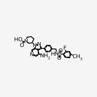 Cc1ccc(S(=O)(=O)NCc2ccc(-c3nn([C@@H]4CCCN(C(=O)O)C4)c4cncc(N)c34)cc2)c(F)c1